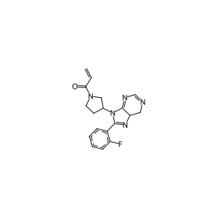 C=CC(=O)N1CCC(N2C(c3ccccc3F)=NC3CN=CN=C32)C1